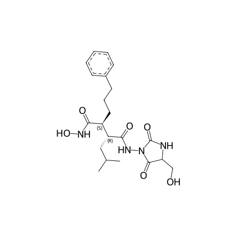 CC(C)C[C@@H](C(=O)NN1C(=O)NC(CO)C1=O)[C@H](CCCc1ccccc1)C(=O)NO